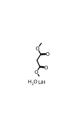 COC(=O)CC(=O)OC.O.[LiH]